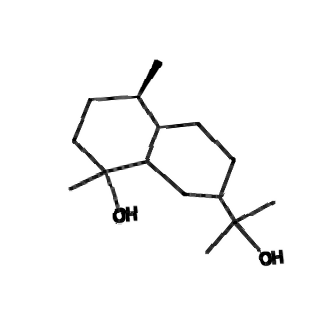 C[C@@H]1CCC(C)(O)C2CC(C(C)(C)O)CCC21